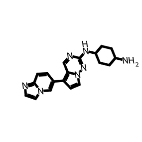 NC1CCC(Nc2ncc3c(-c4ccc5nccn5c4)ccn3n2)CC1